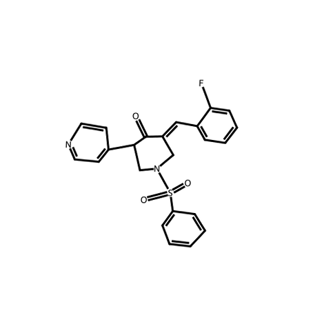 O=C1C(=Cc2ccccc2F)CN(S(=O)(=O)c2ccccc2)CC1c1ccncc1